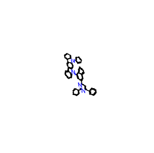 c1ccc(-c2cc(-c3cc(-n4c5ccccc5c5cc6c7ccccc7n(-c7ccccc7)c6cc54)c4ccccc4c3)nc(-c3ccccc3)n2)cc1